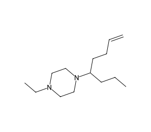 C=CCCC(CCC)N1CCN(CC)CC1